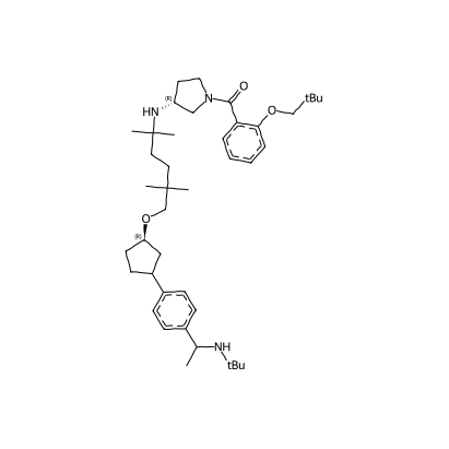 CC(NC(C)(C)C)c1ccc(C2CC[C@@H](OCC(C)(C)CCC(C)(C)N[C@@H]3CCN(C(=O)c4ccccc4OCC(C)(C)C)C3)C2)cc1